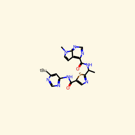 CC(NC(=O)c1ncnc2c1ccn2C)c1ncc(C(=O)Nc2cc(C(C)(C)C)ncn2)s1